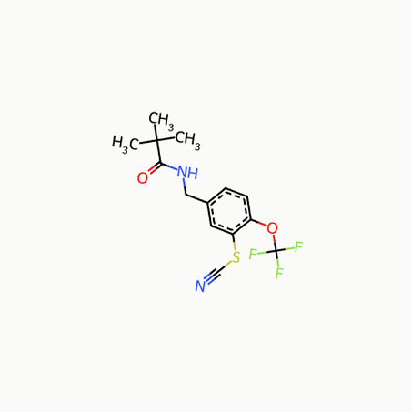 CC(C)(C)C(=O)NCc1ccc(OC(F)(F)F)c(SC#N)c1